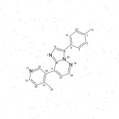 Cc1ccc(-c2cnc3c(-c4cnccc4C)ccnn23)cc1